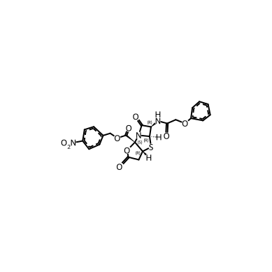 O=C(COc1ccccc1)N[C@@H]1C(=O)N2[C@@H]1S[C@@H]1CC(=O)O[C@@]12C(=O)OCc1ccc([N+](=O)[O-])cc1